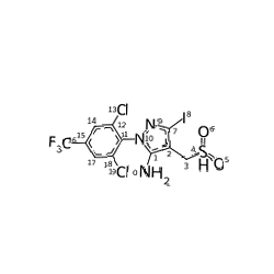 Nc1c(C[SH](=O)=O)c(I)nn1-c1c(Cl)cc(C(F)(F)F)cc1Cl